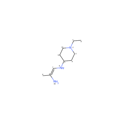 CCN1CCC(N/C=C(/C)N)CC1